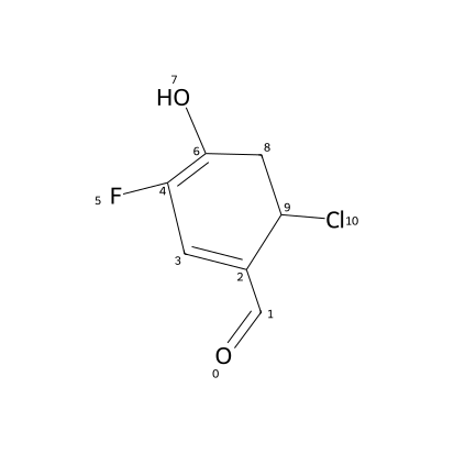 O=CC1=CC(F)=C(O)CC1Cl